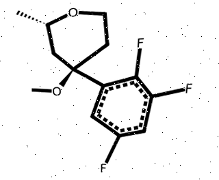 CO[C@]1(c2cc(F)cc(F)c2F)CCO[C@@H](C)C1